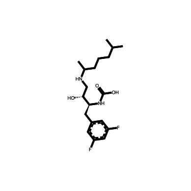 CC(C)CCCC(C)NC[C@@H](O)[C@H](Cc1cc(F)cc(F)c1)NC(=O)O